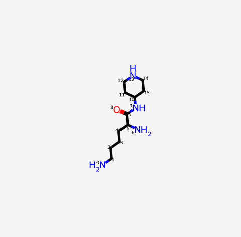 NCCCCC(N)C(=O)NC1CCNCC1